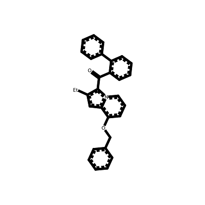 CCc1cc2c(OCc3ccccc3)cccn2c1C(=O)c1ccccc1-c1ccccc1